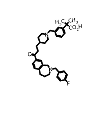 CC(C)(C(=O)O)c1cccc(CN2CCC(CCC(=O)c3ccc4c(c3)CN(Cc3ccc(F)cc3)CCC4)CC2)c1